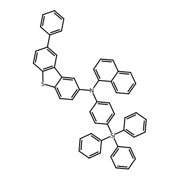 c1ccc(-c2ccc3sc4ccc(N(c5ccc([Si](c6ccccc6)(c6ccccc6)c6ccccc6)cc5)c5cccc6ccccc56)cc4c3c2)cc1